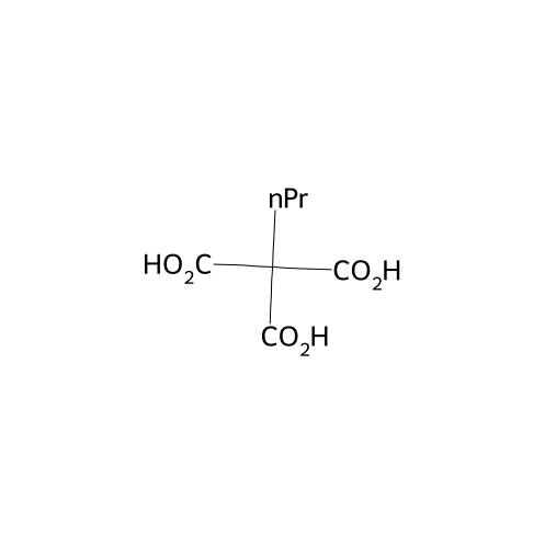 CCCC(C(=O)O)(C(=O)O)C(=O)O